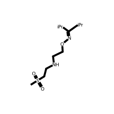 CC(C)C(=NOCCNCCS(C)(=O)=O)C(C)C